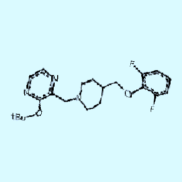 CC(C)(C)Oc1nccnc1CN1CCC(COc2c(F)cccc2F)CC1